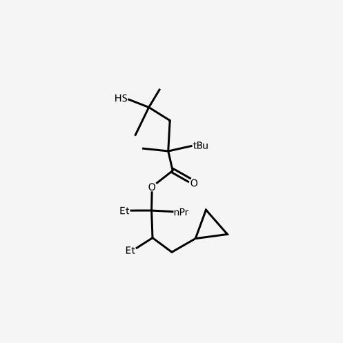 CCCC(CC)(OC(=O)C(C)(CC(C)(C)S)C(C)(C)C)C(CC)CC1CC1